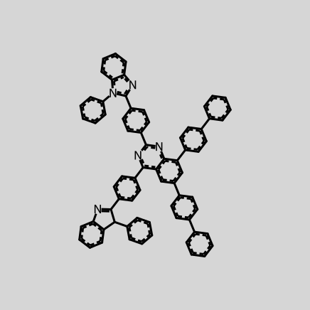 c1ccc(-c2ccc(-c3cc(-c4ccc(-c5ccccc5)cc4)c4nc(-c5ccc(-c6nc7ccccc7n6-c6ccccc6)cc5)nc(-c5ccc(C6=Nc7ccccc7C6c6ccccc6)cc5)c4c3)cc2)cc1